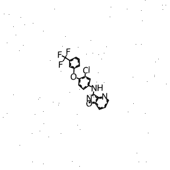 FC(F)(F)c1cccc(Oc2ccc(Nc3noc4cccnc34)cc2Cl)c1